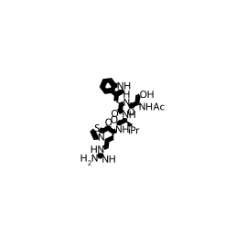 CC(=O)N[C@@H](CO)C(=O)N[C@@H](Cc1c[nH]c2ccccc12)C(=O)N[C@@H](CC(C)C)C(=O)N[C@@H](CCCNC(=N)N)C(=O)c1nccs1